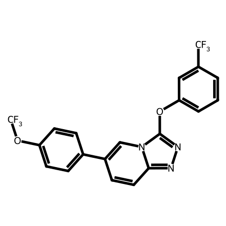 FC(F)(F)Oc1ccc(-c2ccc3nnc(Oc4cccc(C(F)(F)F)c4)n3c2)cc1